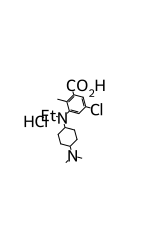 CCN(c1cc(Cl)cc(C(=O)O)c1C)C1CCC(N(C)C)CC1.Cl